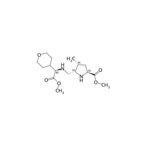 COC(=O)[C@@H]1C[C@@H](C)[C@@H](CN[C@@H](C(=O)OC)C2CCOCC2)N1